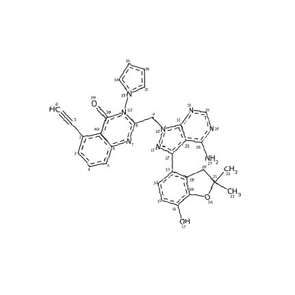 C#Cc1cccc2nc(Cn3nc(-c4ccc(O)c5c4CC(C)(C)O5)c4c(N)ncnc43)n(-n3cccc3)c(=O)c12